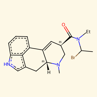 CCN(C(=O)[C@@H]1C=C2c3cccc4[nH]cc(c34)C[C@H]2N(C)C1)C(C)Br